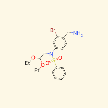 CCOC(CN(c1ccc(CN)c(Br)c1)S(=O)(=O)c1ccccc1)OCC